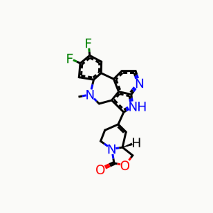 CN1Cc2c(C3=C[C@@H]4COC(=O)N4CC3)[nH]c3nccc(c23)-c2cc(F)c(F)cc21